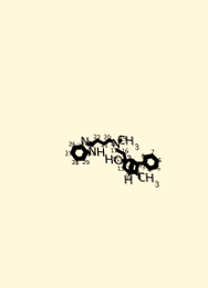 CC1=C(c2ccccc2)C2CC[C@H]1CC2(O)CCN(C)CCCc1nc2ccccc2[nH]1